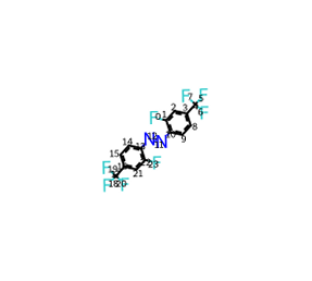 Fc1cc(C(F)(F)F)ccc1N=Nc1ccc(C(F)(F)F)cc1F